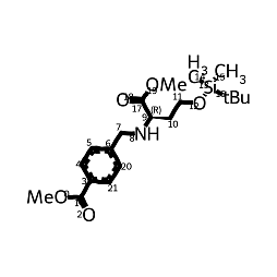 COC(=O)c1ccc(CN[C@H](CCO[Si](C)(C)C(C)(C)C)C(=O)OC)cc1